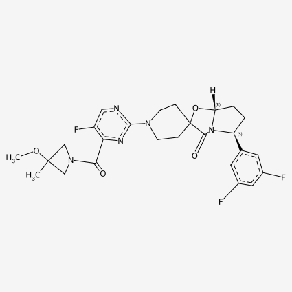 COC1(C)CN(C(=O)c2nc(N3CCC4(CC3)O[C@@H]3CC[C@@H](c5cc(F)cc(F)c5)N3C4=O)ncc2F)C1